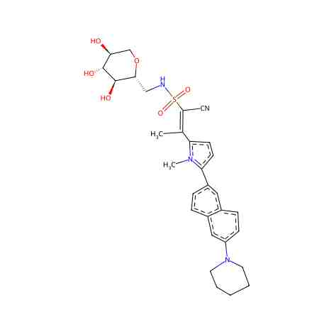 C/C(=C(/C#N)S(=O)(=O)NC[C@H]1OC[C@H](O)[C@@H](O)[C@@H]1O)c1ccc(-c2ccc3cc(N4CCCCC4)ccc3c2)n1C